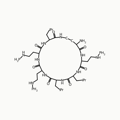 CC(C)CC1NC(=O)C(CCNP)NC(=O)C(CCNP)NC(=O)C(CC(C)C)NC(=O)C(CC(C)C)NC(=O)C(CCNP)NC(=O)C(N)CCNC1=O